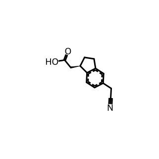 N#CCc1ccc2c(c1)CC[C@@H]2CC(=O)O